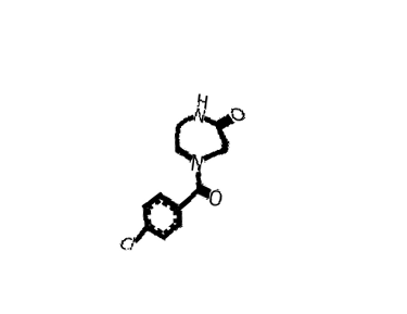 O=C1CN(C(=O)c2ccc(Cl)cc2)CCN1